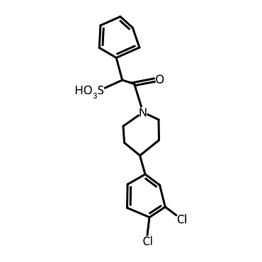 O=C(C(c1ccccc1)S(=O)(=O)O)N1CCC(c2ccc(Cl)c(Cl)c2)CC1